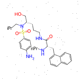 CCCN[C@@H](Cc1cccc2ccccc12)C(=O)NCCC[C@@H](CO)N(CC(C)C)S(=O)(=O)c1ccc(N)cc1